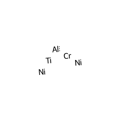 [Al].[Cr].[Ni].[Ni].[Ti]